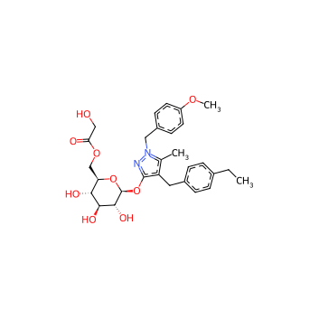 CCc1ccc(Cc2c(O[C@@H]3O[C@H](COC(=O)CO)[C@@H](O)[C@H](O)[C@H]3O)nn(Cc3ccc(OC)cc3)c2C)cc1